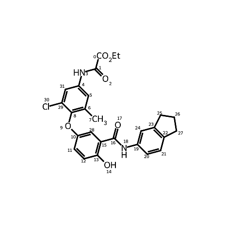 CCOC(=O)C(=O)Nc1cc(C)c(Oc2ccc(O)c(C(=O)Nc3ccc4c(c3)CCC4)c2)c(Cl)c1